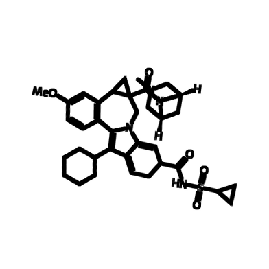 COc1ccc2c(c1)C1CC1(C(=O)N1[C@@H]3C[C@H]1CN(C)C3)Cn1c-2c(C2CCCCC2)c2c1=CC(C(=O)NS(=O)(=O)C1CC1)CC=2